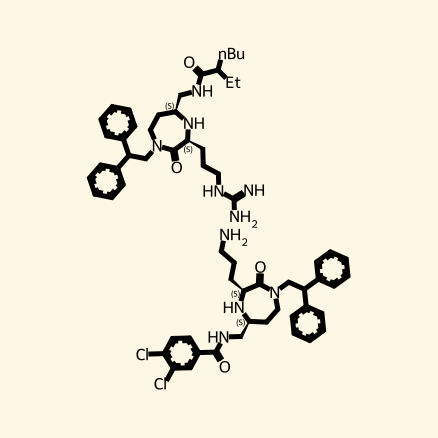 CCCCC(CC)C(=O)NC[C@@H]1CCN(CC(c2ccccc2)c2ccccc2)C(=O)[C@H](CCCNC(=N)N)N1.NCCC[C@@H]1N[C@H](CNC(=O)c2ccc(Cl)c(Cl)c2)CCN(CC(c2ccccc2)c2ccccc2)C1=O